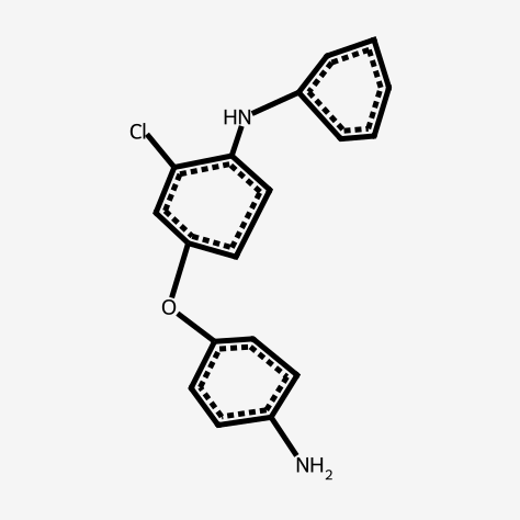 Nc1ccc(Oc2ccc(Nc3ccccc3)c(Cl)c2)cc1